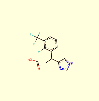 CC(c1c[nH]cn1)c1cccc(C(F)(F)F)c1F.O=CO